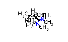 CC(C)[SiH2]C(C)(C)C(N(C)C)N(C)C